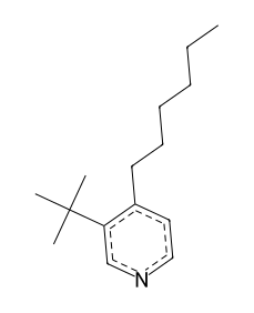 CCCCCCc1ccncc1C(C)(C)C